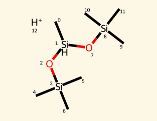 C[SiH](O[Si](C)(C)C)O[Si](C)(C)C.[H+]